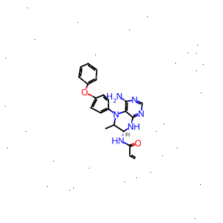 C=CC(=O)N[C@H]1Nc2ncnc(N)c2N(c2ccc(Oc3ccccc3)cc2)C1C